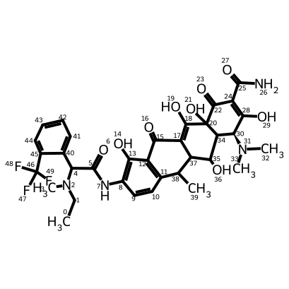 CCN(C)C(C(=O)Nc1ccc2c(c1O)C(=O)C1=C(O)C3(O)C(=O)C(C(N)=O)=C(O)[C@@H](N(C)C)C3C(O)C1C2C)c1ccccc1C(F)(F)F